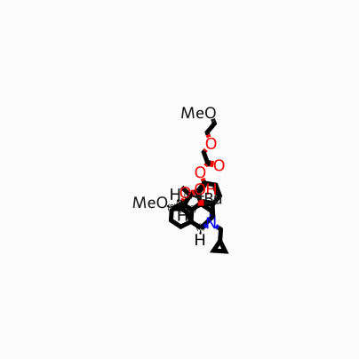 COCCOCC(=O)Oc1ccc2c3c1O[C@H]1[C@]4(OC)CCC5(C[C@@H]4[C@](C)(O)C(C)(C)C)[C@@H](C2)N(CC2CC2)CC[C@]315